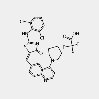 O=C(O)C(F)(F)F.O=C1N=C(Nc2c(Cl)cccc2Cl)SC1=Cc1ccc2nccc(N3CCCCC3)c2c1